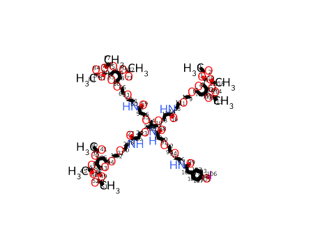 CC(=O)OC[C@H]1O[C@@H](OCCOCCNC(=O)CCOCC(COCCC(=O)NCCOCCO[C@H]2C[C@@H](OC(C)=O)[C@@H](OC(C)=O)[C@@H](COC(C)=O)O2)(COCCC(=O)NCCOCCO[C@H]2C[C@@H](OC(C)=O)[C@@H](OC(C)=O)[C@@H](COC(C)=O)O2)NC(=O)CCOCCOCCNC(=O)Cc2ccc(OI)cc2)C[C@@H](OC(C)=O)[C@H]1OC(C)=O